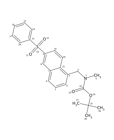 CN(Cc1cccc2cc(S(=O)(=O)c3ccccc3)ccc12)C(=O)OC(C)(C)C